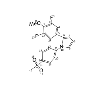 COc1c(F)cc(-c2cccn2-c2ccc(S(C)(=O)=O)cc2)cc1F